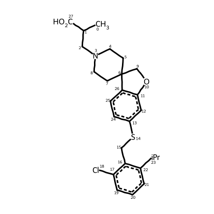 CC(CN1CCC2(CC1)COc1cc(SCc3c(Cl)cccc3C(C)C)ccc12)C(=O)O